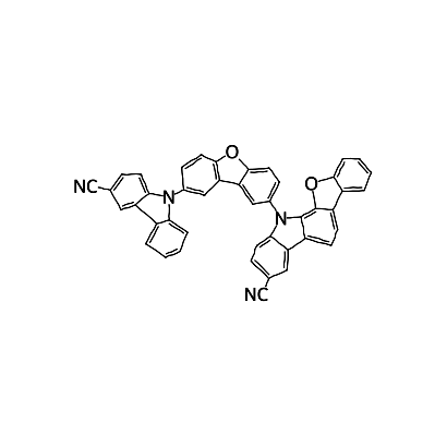 N#Cc1ccc2c(c1)c1ccccc1n2-c1ccc2oc3ccc(-n4c5ccc(C#N)cc5c5ccc6c7ccccc7oc6c54)cc3c2c1